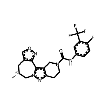 C[C@@H]1Cc2conc2-c2c3c(nn2C1)CCN(C(=O)Nc1ccc(F)c(C(F)(F)F)c1)C3